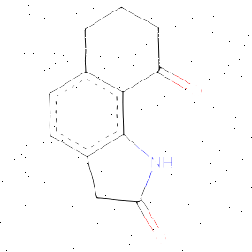 O=C1Cc2ccc3c(c2N1)C(=O)CCC3